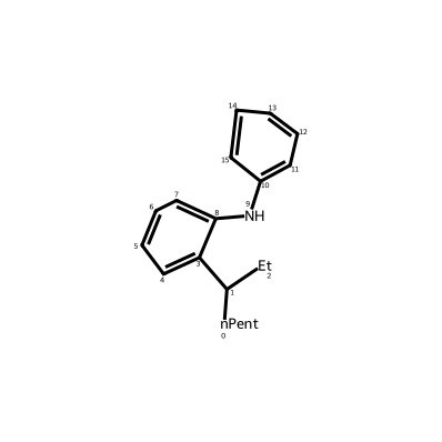 CCCCCC(CC)c1ccccc1Nc1ccccc1